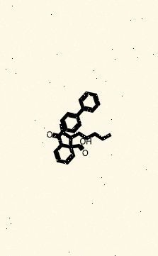 CCCCCC(CC)C1(C(=O)O)C=CC=CC1C(=O)c1ccc(-c2ccccc2)cc1